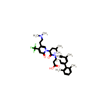 C#C/C(C)=C\C(=C/C[C@H](CC(=O)O)NC(=O)C(CC(C)C)n1cc(CCN(C)C)c(C(F)(F)F)cc1=O)c1c(C)cccc1C